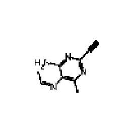 C#Cc1nc(C)c(/N=C\C)c(N)n1